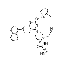 Cc1cccc2cccc(N3CCc4c(nc(OC[C@@H]5CCCN5C)nc4N4CC[C@@H](NC(=O)[C@H]5CN5)[C@@H](CC#N)C4)C3)c12